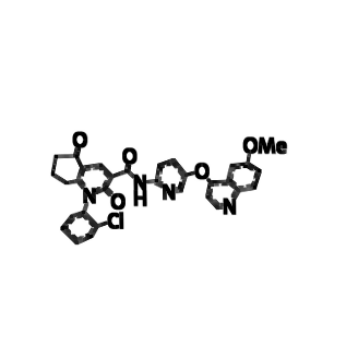 COc1ccc2nccc(Oc3ccc(NC(=O)c4cc5c(n(-c6ccccc6Cl)c4=O)CCCC5=O)nc3)c2c1